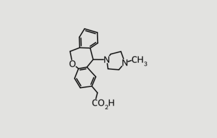 CN1CCN(C2c3ccccc3COc3ccc(CC(=O)O)cc32)CC1